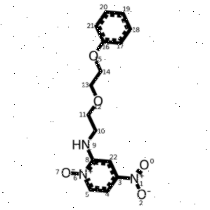 O=[N+]([O-])c1cc[n+]([O-])c(NCCOCCOc2ccccc2)c1